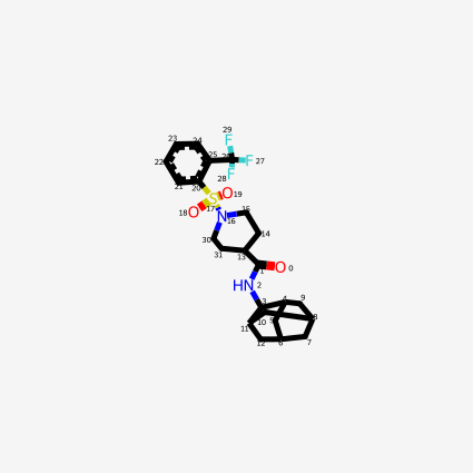 O=C(NC1C2CC3CC(C2)CC1C3)C1CCN(S(=O)(=O)c2ccccc2C(F)(F)F)CC1